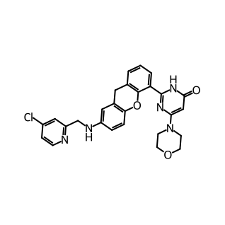 O=c1cc(N2CCOCC2)nc(-c2cccc3c2Oc2ccc(NCc4cc(Cl)ccn4)cc2C3)[nH]1